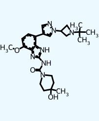 COc1ccc(-c2cnn(C3CN(C(C)(C)C)C3)c2)c2[nH]c(NC(=O)N3CCC(C)(O)CC3)nc12